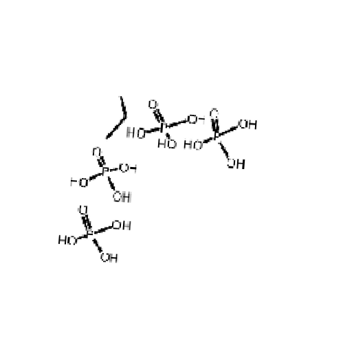 CCC.O=P(O)(O)O.O=P(O)(O)O.O=P(O)(O)O.O=P(O)(O)O